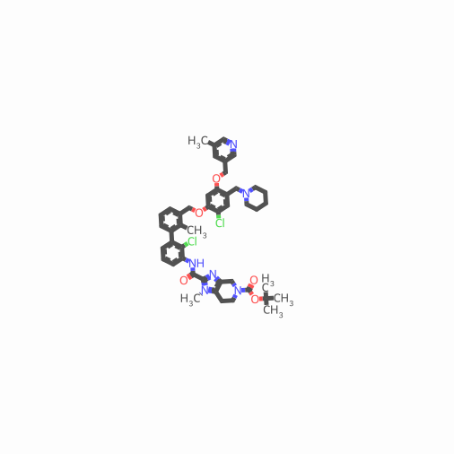 Cc1cncc(COc2cc(OCc3cccc(-c4cccc(NC(=O)c5nc6c(n5C)CCN(C(=O)OC(C)(C)C)C6)c4Cl)c3C)c(Cl)cc2CN2CCCCC2)c1